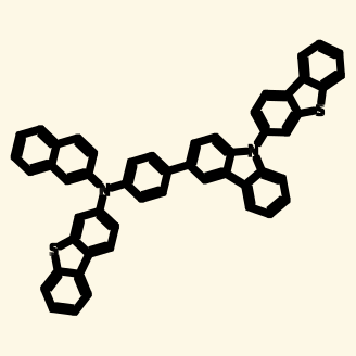 c1ccc2cc(N(c3ccc(-c4ccc5c(c4)c4ccccc4n5-c4ccc5c(c4)sc4ccccc45)cc3)c3ccc4c(c3)sc3ccccc34)ccc2c1